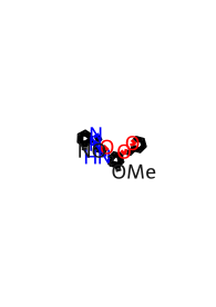 COc1cc(NC(=O)Cn2cnc3cccc([N+](=O)[O-])c32)cc(OCC2CCCCO2)c1